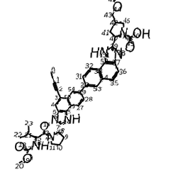 CC#Cc1cc2nc([C@@H]3CCCN3C(=O)C(NC(=O)OC)C(C)C)[nH]c2c2ccc(-c3ccc4c(ccc5nc(C6CC(COC)CN6C(=O)O)[nH]c54)c3)cc12